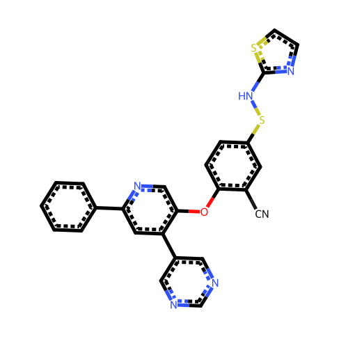 N#Cc1cc(SNc2nccs2)ccc1Oc1cnc(-c2ccccc2)cc1-c1cncnc1